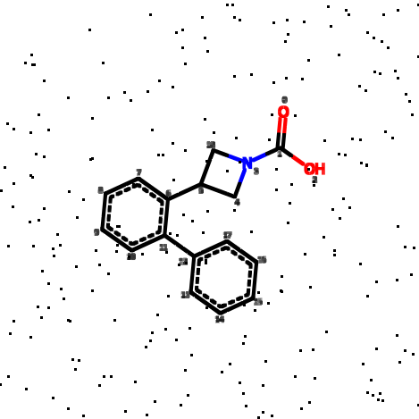 O=C(O)N1CC(c2ccccc2-c2ccccc2)C1